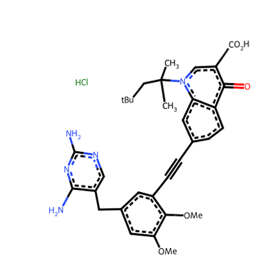 COc1cc(Cc2cnc(N)nc2N)cc(C#Cc2ccc3c(=O)c(C(=O)O)cn(C(C)(C)CC(C)(C)C)c3c2)c1OC.Cl